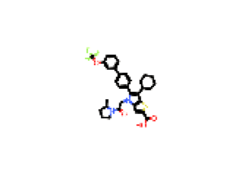 CC1CCCN1C(=O)Cn1c(-c2ccc(-c3cccc(OC(F)(F)F)c3)cc2)c(C2CCCCC2)c2sc(C(=O)O)cc21